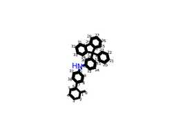 CC1CC=CC=C1c1ccc(Nc2cccc(C3(c4ccccc4)c4ccccc4-c4ccccc43)c2)cc1